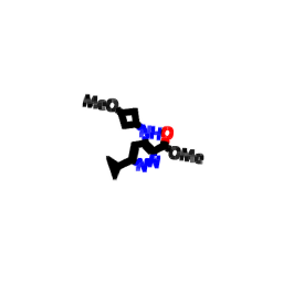 COC(=O)c1nnc(C2CC2)cc1NC1CC(OC)C1